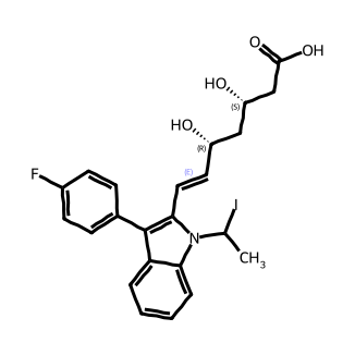 CC(I)n1c(/C=C/[C@H](O)C[C@H](O)CC(=O)O)c(-c2ccc(F)cc2)c2ccccc21